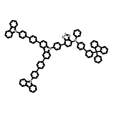 c1ccc(N(c2ccc(-c3cccc(C4(c5ccccc5)c5ccccc5-c5ccccc54)c3)cc2)c2ccc(-c3ccc(-n4c5ccc(-c6ccc(-c7ccc(-n8c9ccccc9c9ccccc98)cc7)cc6)cc5c5cc(-c6ccc(-c7ccc(-n8c9ccccc9c9ccccc98)cc7)cc6)ccc54)cc3)c3nsnc23)cc1